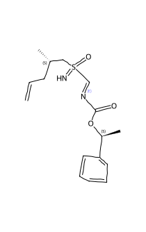 C=CC[C@H](C)CS(=N)(=O)/C=N/C(=O)O[C@@H](C)c1ccccc1